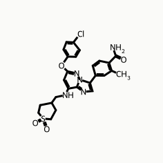 Cc1cc(-c2cnc3c(NCC4CCS(=O)(=O)CC4)cc(Oc4ccc(Cl)cc4)nn23)ccc1C(N)=O